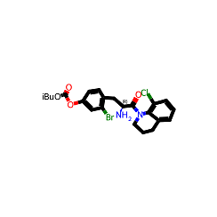 CC(C)COC(=O)Oc1ccc(C[C@@H](N)C(=O)N2CCCc3cccc(Cl)c32)c(Br)c1